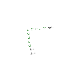 [Cl-].[Cl-].[Cl-].[Cl-].[Cl-].[Cl-].[Cl-].[Cl-].[Cl-].[Nd+3].[Pr+3].[Sm+3]